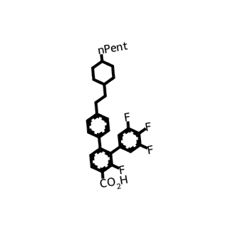 CCCCCC1CCC(CCc2ccc(-c3ccc(C(=O)O)c(F)c3-c3cc(F)c(F)c(F)c3)cc2)CC1